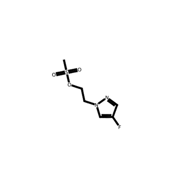 CS(=O)(=O)OCCn1cc(F)cn1